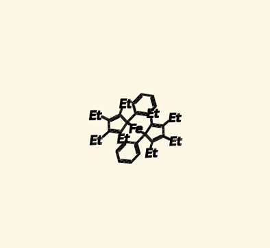 CCC1=C(CC)[C]([Fe][C]2(c3ccccc3)C(CC)=C(CC)C(CC)=C2CC)(c2ccccc2)C(CC)=C1CC